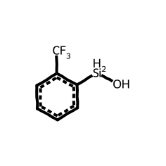 O[SiH2]c1ccccc1C(F)(F)F